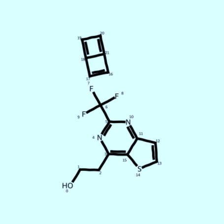 OCCc1nc(C(F)(F)F)nc2ccsc12.c1cc2ccc1-2